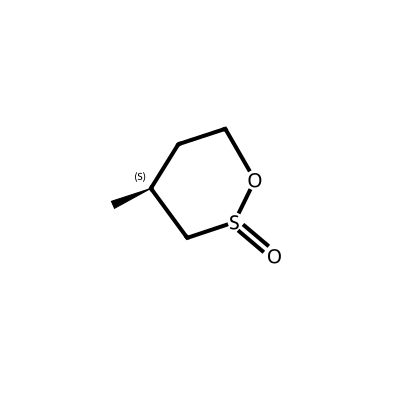 C[C@H]1CCOS(=O)C1